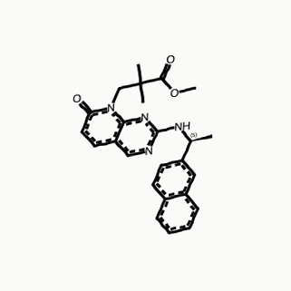 COC(=O)C(C)(C)Cn1c(=O)ccc2cnc(N[C@@H](C)c3ccc4ccccc4c3)nc21